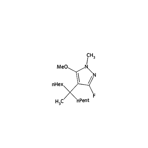 CCCCCCC(C)(CCCCC)c1c(F)nn(C)c1OC